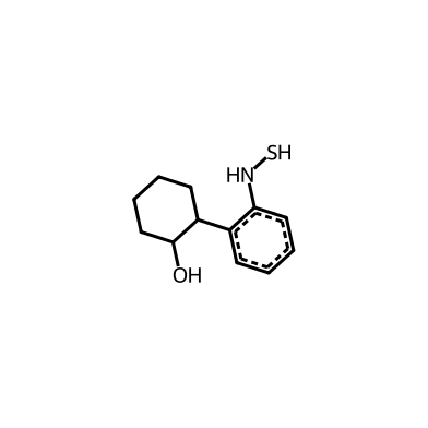 OC1CCCCC1c1ccccc1NS